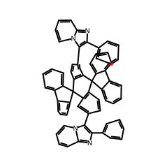 c1ccc(-c2nc3ccccn3c2-c2ccc3c(c2)C2(c4ccccc4-c4ccccc42)c2ccc(-c4c(-c5ccccc5)nc5ccccn45)cc2C32c3ccccc3-c3ccccc32)cc1